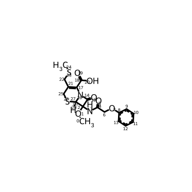 COC1(NC(=O)COc2ccccc2)C(=O)N2C(C(=O)O)=C(CSC)CS[C@H]21